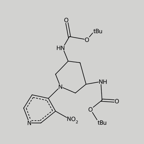 CC(C)(C)OC(=O)NC1CC(NC(=O)OC(C)(C)C)CN(c2ccncc2[N+](=O)[O-])C1